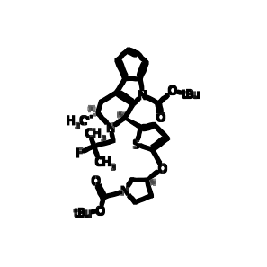 C[C@@H]1Cc2c(n(C(=O)OC(C)(C)C)c3ccccc23)[C@@H](c2ccc(O[C@H]3CCN(C(=O)OC(C)(C)C)C3)s2)N1CC(C)(C)F